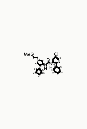 COCCN1CC(NC(=O)Nc2cc(Cl)cnc2-c2ccccc2)[C@H](c2ccccc2)C1